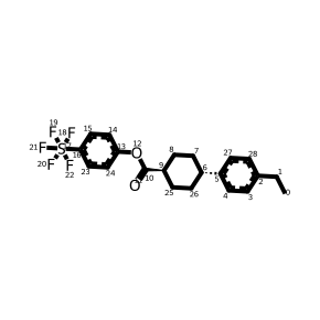 CCc1ccc([C@H]2CC[C@H](C(=O)Oc3ccc(S(F)(F)(F)(F)F)cc3)CC2)cc1